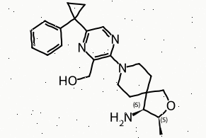 C[C@@H]1OCC2(CCN(c3ncc(C4(c5ccccc5)CC4)nc3CO)CC2)[C@@H]1N